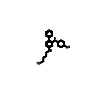 CCCCCNc1ncc(-c2ccccn2)c(NC2CCC(O)CC2)n1